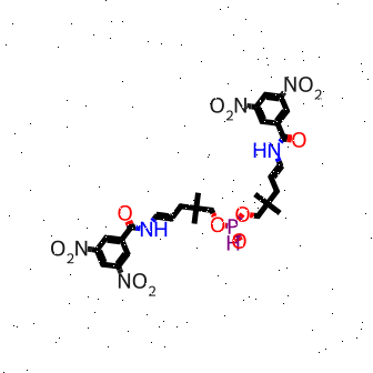 CC(C)(CC=CNC(=O)c1cc([N+](=O)[O-])cc([N+](=O)[O-])c1)CO[PH](=O)OCC(C)(C)CC=CNC(=O)c1cc([N+](=O)[O-])cc([N+](=O)[O-])c1